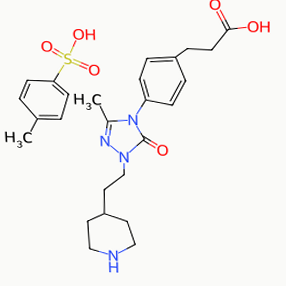 Cc1ccc(S(=O)(=O)O)cc1.Cc1nn(CCC2CCNCC2)c(=O)n1-c1ccc(CCC(=O)O)cc1